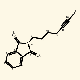 O=C1c2ccccc2C(=O)N1CCCCC#CI